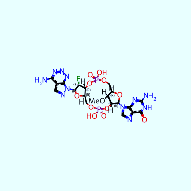 CO[C@H]1[C@H]2OP(=O)(O)OC[C@H]3O[C@@H](n4ncc5c(N)nnnc54)[C@@H](F)[C@@H]3OP(=O)(O)OC[C@H]1O[C@H]2n1cnc2c(=O)[nH]c(N)nc21